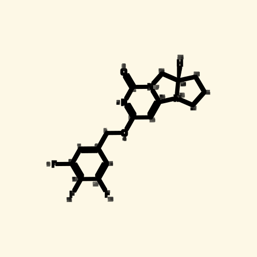 O=c1nc(OCc2cc(F)c(F)c(F)c2)cc2n1C[C@@H]1CCCN21